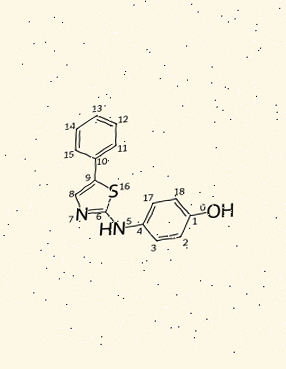 Oc1ccc(Nc2ncc(-c3ccccc3)s2)cc1